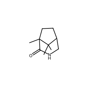 CC12CCC(CNC1=O)C2(C)C